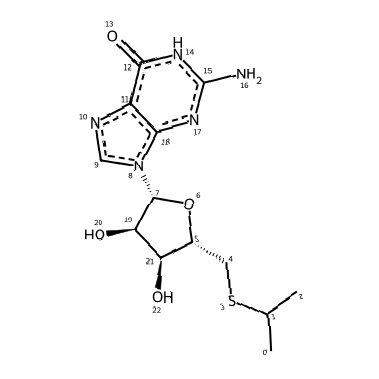 CC(C)SC[C@H]1O[C@@H](n2cnc3c(=O)[nH]c(N)nc32)[C@H](O)[C@@H]1O